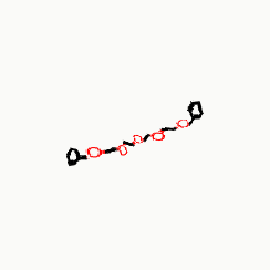 c1ccc(COCCOCCOCCOCCOCc2ccccc2)cc1